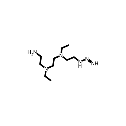 CCN(CCN)CCN(CC)CCNN=N